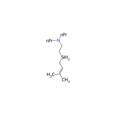 CCCN(CCC)CC[SiH2]CC=C(C)C